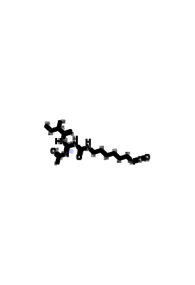 C=C(N/C(=N\C(C)=O)NC(=O)NCCCCCCN=C=O)C(C)CC